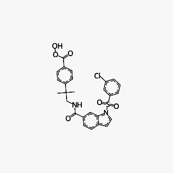 CC(C)(CNC(=O)c1ccc2ccn(S(=O)(=O)c3cccc(Cl)c3)c2c1)c1ccc(C(=O)OO)cc1